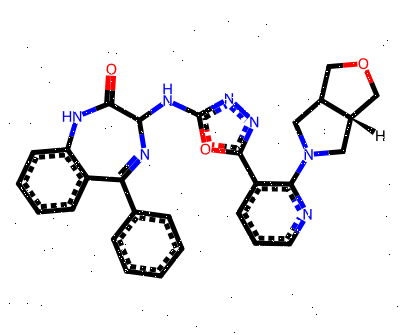 O=C1Nc2ccccc2C(c2ccccc2)=NC1Nc1nnc(-c2cccnc2N2CC3COC[C@@H]3C2)o1